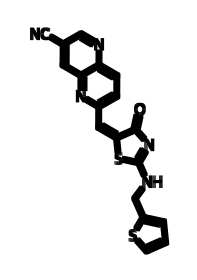 N#Cc1cnc2ccc(/C=C3/SC(NCc4cccs4)=NC3=O)nc2c1